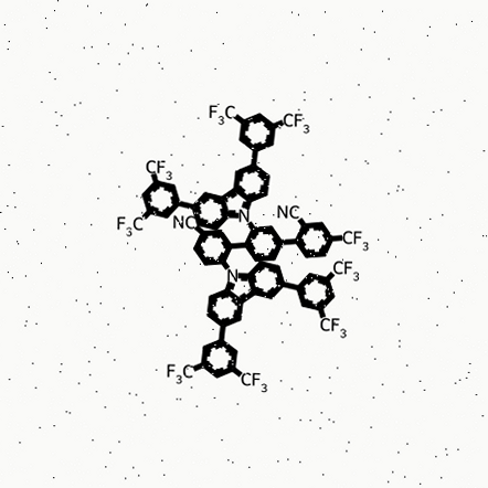 N#Cc1ccc(-n2c3ccc(-c4cc(C(F)(F)F)cc(C(F)(F)F)c4)cc3c3cc(-c4cc(C(F)(F)F)cc(C(F)(F)F)c4)ccc32)c(-c2ccc(-c3ccc(C(F)(F)F)cc3C#N)cc2-n2c3ccc(-c4cc(C(F)(F)F)cc(C(F)(F)F)c4)cc3c3cc(-c4cc(C(F)(F)F)cc(C(F)(F)F)c4)ccc32)c1